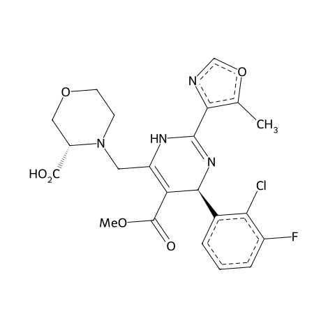 COC(=O)C1=C(CN2CCOC[C@H]2C(=O)O)NC(c2ncoc2C)=N[C@H]1c1cccc(F)c1Cl